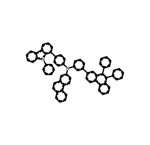 c1ccc(-c2c(-c3ccccc3)c3cc(-c4cccc(N(c5ccc(-c6cccc7c8ccccc8n(-c8ccccc8)c67)cc5)c5ccc6c(ccc7ccccc76)c5)c4)ccc3c3ccccc23)cc1